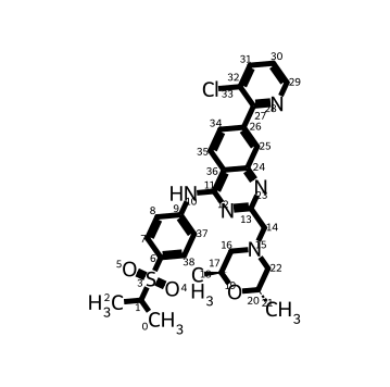 CC(C)S(=O)(=O)c1ccc(Nc2nc(CN3C[C@H](C)O[C@@H](C)C3)nc3cc(-c4ncccc4Cl)ccc23)cc1